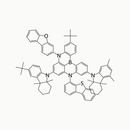 Cc1cc(C)c2c(c1)N(c1ccc3c(c1)N(c1cccc4c1sc1ccccc14)c1cc(N4c5ccc(C(C)(C)C)cc5C5(C)CCCCC45C)cc4c1B3c1ccc(C(C)(C)C)cc1N4c1ccc3c(c1)oc1ccccc13)C1(C)CCCCC21C